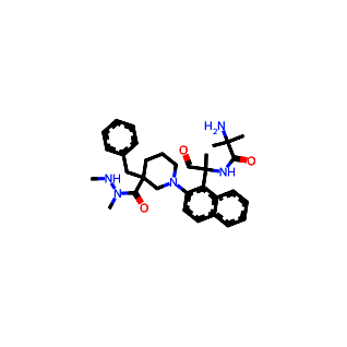 CNN(C)C(=O)C1(Cc2ccccc2)CCCN(c2ccc3ccccc3c2C(C)(C=O)NC(=O)C(C)(C)N)C1